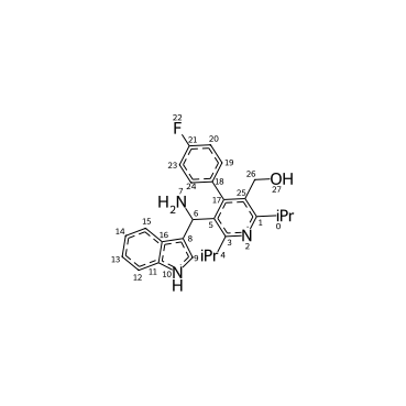 CC(C)c1nc(C(C)C)c(C(N)c2c[nH]c3ccccc23)c(-c2ccc(F)cc2)c1CO